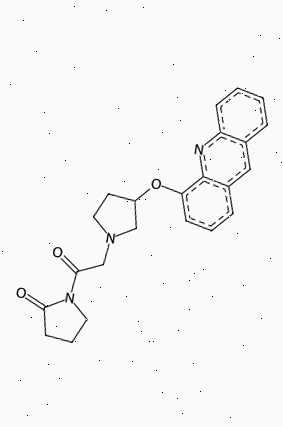 O=C1CCCN1C(=O)CN1CCC(Oc2cccc3cc4ccccc4nc23)C1